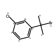 CC(C)(Br)c1cccc(Cl)c1